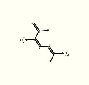 C=C(F)/C(=C\C=C(/C)N)[N+](=O)[O-]